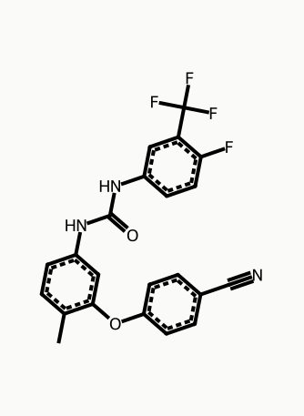 Cc1ccc(NC(=O)Nc2ccc(F)c(C(F)(F)F)c2)cc1Oc1ccc(C#N)cc1